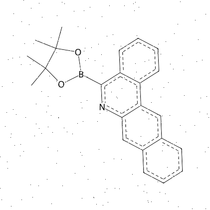 CC1(C)OB(c2nc3cc4ccccc4cc3c3ccccc23)OC1(C)C